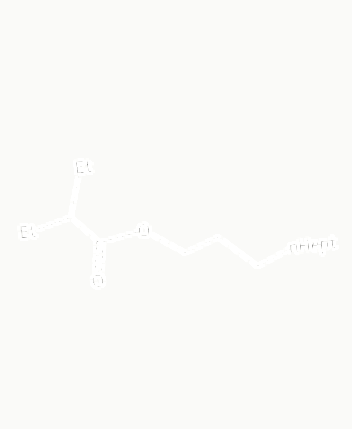 CCCCCCCCCCOC(=O)C(CC)CC